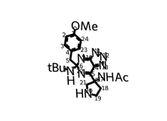 COc1ccc(CC2(NC(C)(C)C)N=C3N=NN=C3C([C@]3(NC(C)=O)CCNC3)=N2)cc1